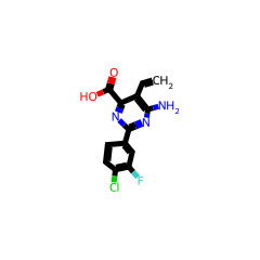 C=Cc1c(N)nc(-c2ccc(Cl)c(F)c2)nc1C(=O)O